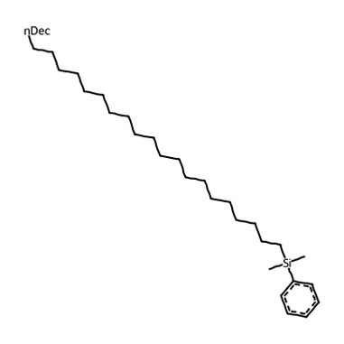 [CH2]CCCCCCCCCCCCCCCCCCCCCCCCCCCCC[Si](C)(C)c1ccccc1